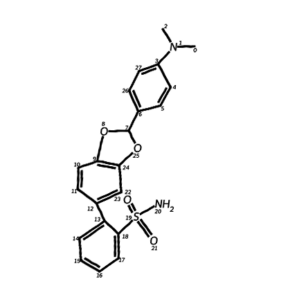 CN(C)c1ccc(C2Oc3ccc(-c4ccccc4S(N)(=O)=O)cc3O2)cc1